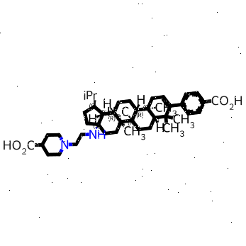 CC(C)[C@@H]1CC[C@]2(NCCN3CCC(C(=O)O)CC3)CC[C@]3(C)[C@H](CC[C@@H]4[C@@]5(C)CC=C(c6ccc(C(=O)O)cc6)C(C)(C)[C@@H]5CC[C@]43C)[C@@H]12